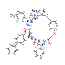 O=C1COc2ccc(cc2)C[C@@H](C(=O)O)NC(=O)[C@H](Cc2ccc(Cl)cc2)NC(=O)[C@@H](Cc2ccc(-c3ccccc3)cc2)NC(=O)[C@H](Cc2ccncc2)N1